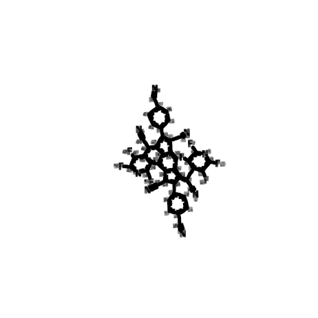 N#C/C(c1c(F)c(F)nc(F)c1F)=c1\c(-c2ccc(C#N)cc2)c(C#N)c2c1cc1c(C#N)c(-c3ccc(C#N)cc3)c3c(C#N)c4c(F)c(F)nc(F)c4c2c13